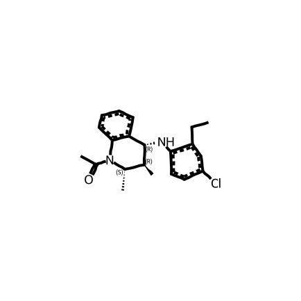 CCc1cc(Cl)ccc1N[C@H]1c2ccccc2N(C(C)=O)[C@@H](C)[C@@H]1C